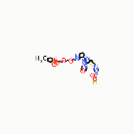 Cc1ccc(S(=O)(=O)OCCOCCOCCn2cc3c(-c4nc(N5CCOCC5)c5sc(CN6CCN(C[SH](=O)=O)CC6)cc5n4)cccc3n2)cc1